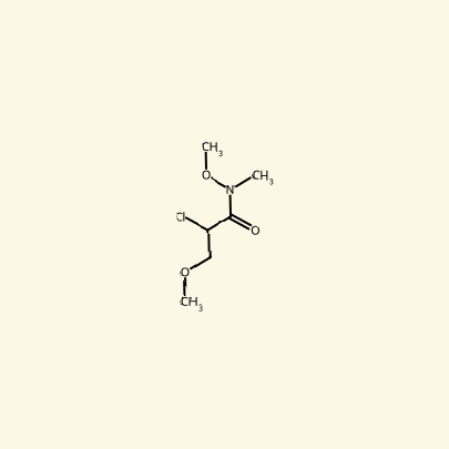 COCC(Cl)C(=O)N(C)OC